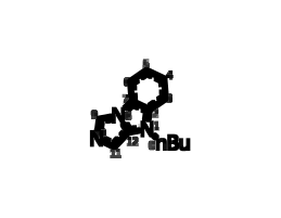 CCCCn1c2ccccc2n2cncc12